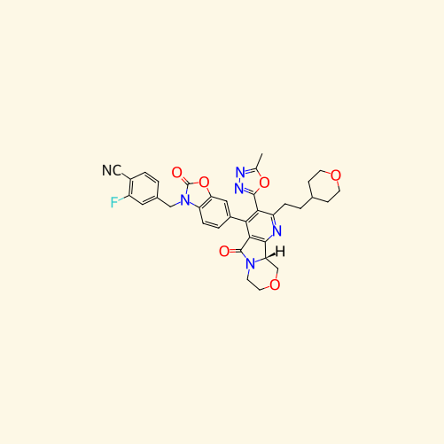 Cc1nnc(-c2c(CCC3CCOCC3)nc3c(c2-c2ccc4c(c2)oc(=O)n4Cc2ccc(C#N)c(F)c2)C(=O)N2CCOC[C@@H]32)o1